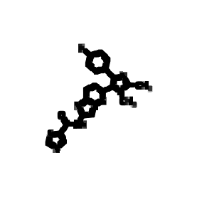 Cc1nc(-c2ccc(F)cc2)c(-c2ccc3nc(NC(=O)c4cncs4)cn3n2)n1C